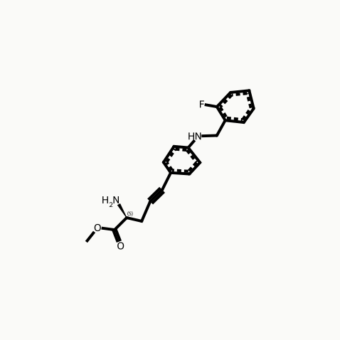 COC(=O)[C@@H](N)CC#Cc1ccc(NCc2ccccc2F)cc1